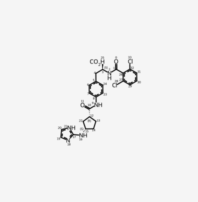 O=C(N[C@@H](Cc1ccc(NC(=O)[C@@H]2CC[C@H](Nc3ncc[nH]3)C2)cc1)C(=O)O)c1c(Cl)cccc1Cl